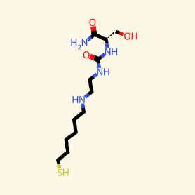 NC(=O)[C@H](CO)NC(=O)NCCNCCCCCCS